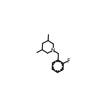 CC1CC(C)CN(Cc2ccccc2F)C1